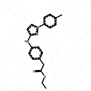 CCOC(=O)Cc1ccc(Nc2ccn(-c3ccc(C)cc3)n2)cc1